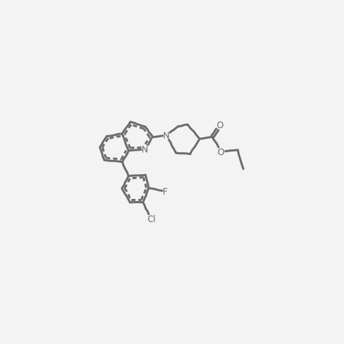 CCOC(=O)C1CCN(c2ccc3cccc(-c4ccc(Cl)c(F)c4)c3n2)CC1